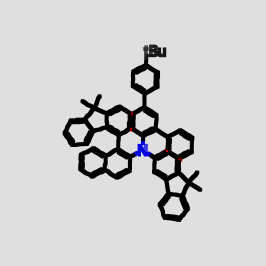 CC(C)(C)c1ccc(-c2ccc(N(c3ccc4c(c3)-c3ccccc3C4(C)C)c3ccc4ccccc4c3-c3cccc4c3-c3ccccc3C4(C)C)c(-c3ccccc3)c2)cc1